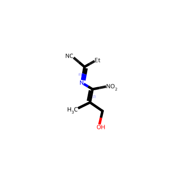 CC/C(C#N)=N\C(=C(/C)CO)[N+](=O)[O-]